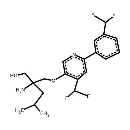 CC(C)CC(N)(CO)COc1cnc(-c2cccc(C(F)F)c2)cc1C(F)F